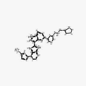 Cc1ccc(-c2ccnc3[nH]c(-c4n[nH]c5ccc(-c6cncc(CNCC7CCCC7)c6)nc45)nc23)s1